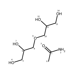 CC(N)=O.OCC(O)COCC(O)CO